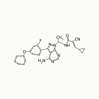 CC(NC(=O)C(C#N)=CC1CC1)n1nc(-c2ccc(Oc3ccccc3)cc2F)c2c(N)ncnc21